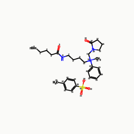 CCCCCCCCCCCCCC(=O)NCCCC[N+](C)(CN1CCCC1=O)c1ccccc1.Cc1ccc(S(=O)(=O)[O-])cc1